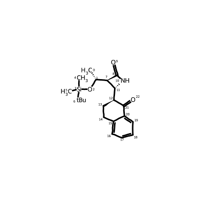 C[C@@H](O[Si](C)(C)C(C)(C)C)[C@H]1C(=O)N[C@@H]1[C@@H]1CCc2ccccc2C1=O